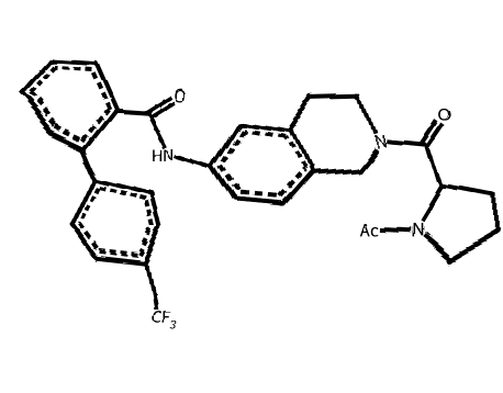 CC(=O)N1CCCC1C(=O)N1CCc2cc(NC(=O)c3ccccc3-c3ccc(C(F)(F)F)cc3)ccc2C1